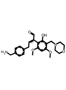 COc1cc(OC)c(/C(C=O)=C\Cc2ccc(CN)cc2)c(O)c1CN1CCOCC1